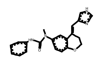 CN(C(=O)Nc1ccccc1)c1ccc2c(c1)/C(=C/c1c[nH]cn1)CCO2